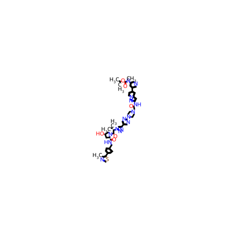 Cc1ncsc1-c1ccc(CNC(=O)[C@@H]2C[C@@H](O)CN2C(=O)[C@H](C(C)C)n2cc(-c3cnc(N4CCN(CC(=O)Nc5cc6cc(-c7cncc(N(C)C(=O)OC(C)C)c7)ccn6n5)CC4)nc3)nn2)cc1